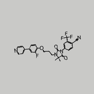 CC1(C)C(=O)N(c2ccc(C#N)c(C(F)(F)F)c2)C(=O)N1CCCOc1ccc(-c2ccncc2)cc1F